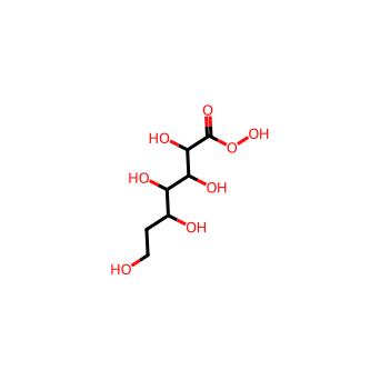 O=C(OO)C(O)C(O)C(O)C(O)CCO